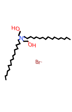 CCCCCCCCCCCCCCCC[N+](CCO)(CCO)CCCCCCCCCCCCCCCC.[Br-]